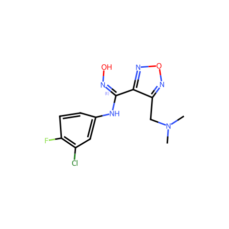 CN(C)Cc1nonc1/C(=N\O)Nc1ccc(F)c(Cl)c1